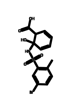 Cc1ccc(Br)cc1S(=O)(=O)NC1(O)C=CC=CC1C(=O)O